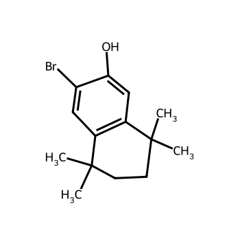 CC1(C)CCC(C)(C)c2cc(Br)c(O)cc21